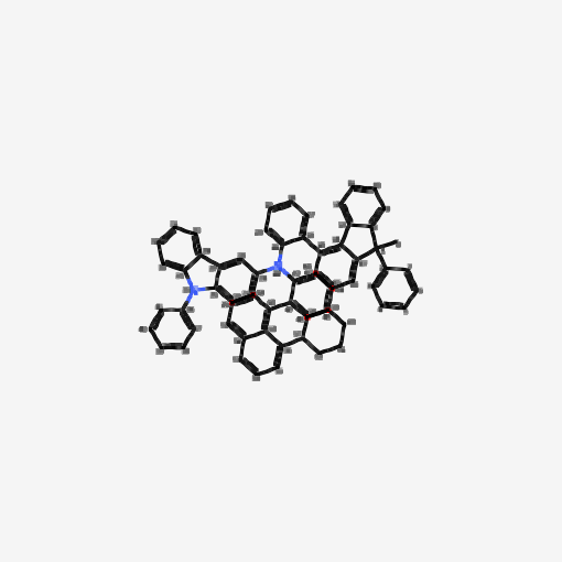 CC1(c2ccccc2)c2ccccc2-c2c(-c3ccccc3N(c3ccc4c(c3)c3ccccc3n4-c3ccccc3)c3ccccc3-c3cccc4cccc(C5CCCCC5)c34)cccc21